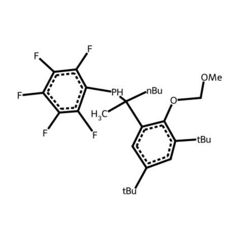 CCCCC(C)(Pc1c(F)c(F)c(F)c(F)c1F)c1cc(C(C)(C)C)cc(C(C)(C)C)c1OCOC